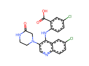 O=C1CN(c2cnc3ccc(Cl)cc3c2Nc2ccc(Cl)cc2C(=O)O)CCN1